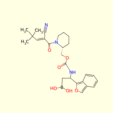 CC(C)(C)C=C(C#N)C(=O)N1CCCC[C@@H]1COC(=O)NC(CB(O)O)c1occ2ccccc12